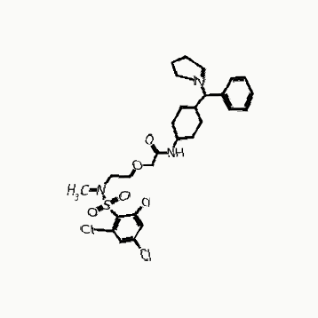 CN(CCOCC(=O)NC1CCC(C(c2ccccc2)N2CCCC2)CC1)S(=O)(=O)c1c(Cl)cc(Cl)cc1Cl